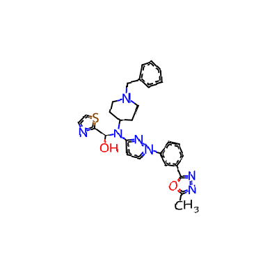 Cc1nnc(-c2cccc(-n3ccc(N(C4CCN(Cc5ccccc5)CC4)C(O)c4nccs4)n3)c2)o1